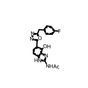 CC(=O)Nc1nc2c(O)c(-c3nnc(Cc4ccc(F)cc4)o3)ccc2[nH]1